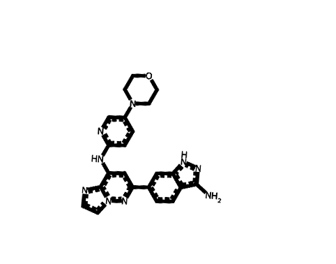 Nc1n[nH]c2cc(-c3cc(Nc4ccc(N5CCOCC5)cn4)c4nccn4n3)ccc12